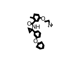 Cc1ccc(OCCN(C)C)cc1C(=O)NC1(c2cccc(Oc3ccccc3)c2)CC1